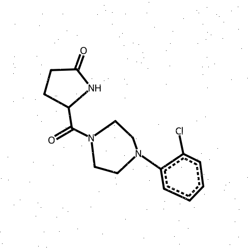 O=C1CCC(C(=O)N2CCN(c3ccccc3Cl)CC2)N1